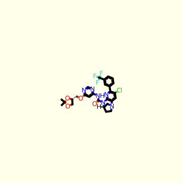 CC1(C)OC[C@@H](COc2cc(NC(=O)N3c4nc(-c5cccc(C(F)(F)F)c5)c(Cl)cc4N4CC[C@H]3C4)ncn2)O1